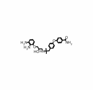 CC(C)(Cc1ccc(Oc2ccc(C(N)=O)cc2)cc1)NCC(O)COc1cccc(N)c1N